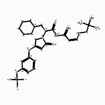 CC(C)(O)CN/C=C\C(=N)NC(=O)[C@H](CC1CCCCC1)N1CC(Oc2cccc(OC(F)(F)F)c2)=CC1=O